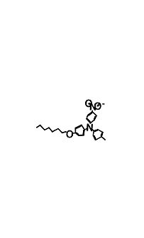 CCCCCCCCOc1ccc(N(c2ccc(C)cc2)c2ccc([N+](=O)[O-])cc2)cc1